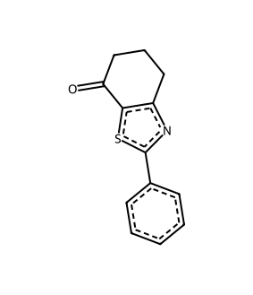 O=C1CCCc2nc(-c3ccccc3)sc21